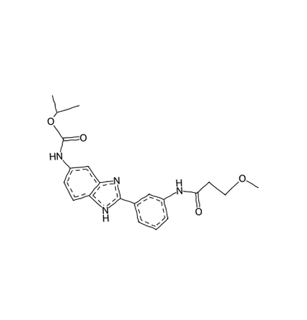 COCCC(=O)Nc1cccc(-c2nc3cc(NC(=O)OC(C)C)ccc3[nH]2)c1